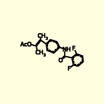 CC(=O)OC(C)=C(C)c1ccc(NC(=O)c2c(F)cccc2F)cc1